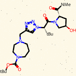 CNC(=O)[C@@H]1C[C@@H](O)CN1C(=O)[C@@H](n1cc(CN2CCCN(C(=O)OC(C)(C)C)CC2)nn1)C(C)(C)C